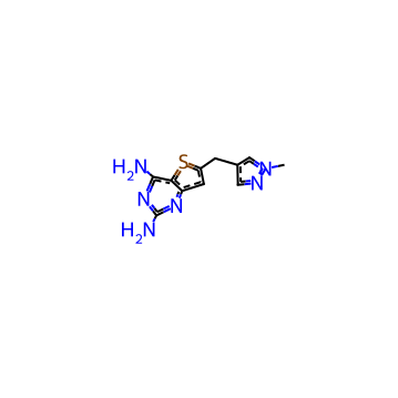 Cn1cc(Cc2cc3nc(N)nc(N)c3s2)cn1